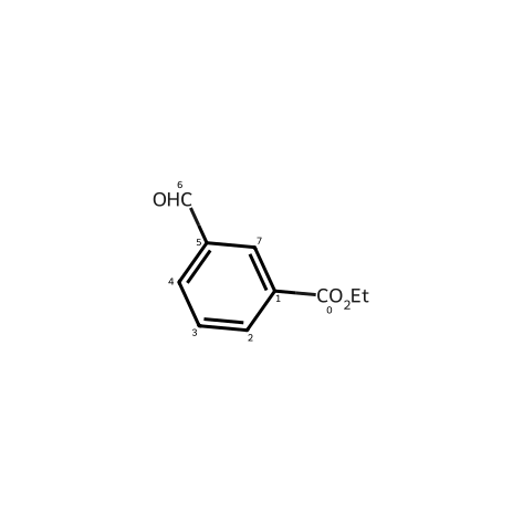 CCOC(=O)c1cccc(C=O)c1